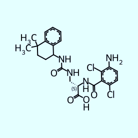 CC1(C)CCC(NC(=O)NC[C@H](NC(=O)c2c(Cl)ccc(N)c2Cl)C(=O)O)c2ccccc21